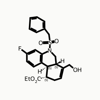 CCOC(=O)[C@H]1CC=C(CO)[C@H]2CN(S(=O)(=O)Cc3ccccc3)c3cc(F)ccc3[C@H]12